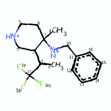 CC(C1CNCCC1(C)NCc1ccccc1)C(F)(F)F